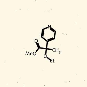 CCOC(C)(C(=O)OC)c1ccncc1